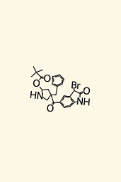 CC(C)(C)C(=O)OC1CC(Cc2ccccc2)(C(=O)c2ccc3c(c2)C(Br)C(=O)N3)CN1